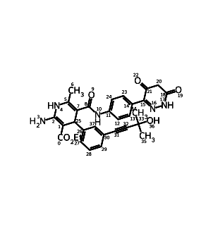 CCOC(=O)C1=C(N)NC(C)=C(C(=O)Nc2ccc(C3=NNC(=O)CC3=O)cc2)C1c1cccc(C#CC(C)(C)O)c1